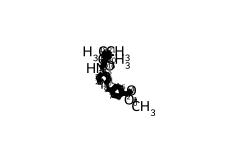 CCOC(=O)c1ccc(CN2CCC(NC(=O)OC(C)(C)C)CC2)cc1